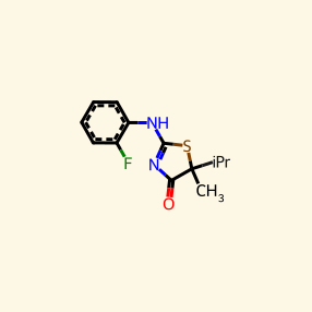 CC(C)C1(C)SC(Nc2ccccc2F)=NC1=O